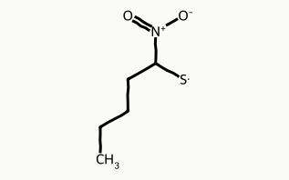 CCCCC([S])[N+](=O)[O-]